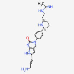 CC(=N)NCC[C@@H]1CCC[C@@H](c2ccc(-n3cc4cc(C#CCN)[nH]c4nc3=O)cc2)N1